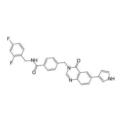 O=C(NCc1ccc(F)cc1F)c1ccc(Cn2cnc3ccc(-c4cc[nH]c4)cc3c2=O)cc1